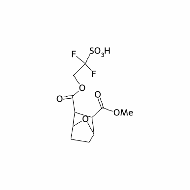 COC(=O)C1C2CCC(O2)C1C(=O)OCC(F)(F)S(=O)(=O)O